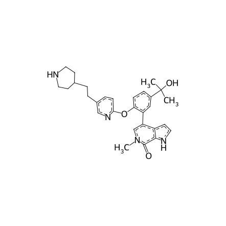 Cn1cc(-c2cc(C(C)(C)O)ccc2Oc2ccc(CCC3CCNCC3)cn2)c2cc[nH]c2c1=O